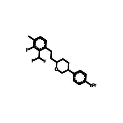 CCCc1ccc(C2CCC(CCc3ccc(C)c(F)c3C(F)F)OC2)cc1